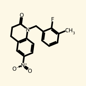 Cc1cccc(CN2C(=O)CCc3cc([N+](=O)[O-])ccc32)c1F